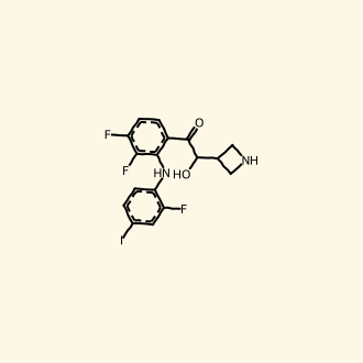 O=C(c1ccc(F)c(F)c1Nc1ccc(I)cc1F)C(O)C1CNC1